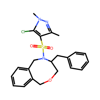 Cc1nn(C)c(Cl)c1S(=O)(=O)N1Cc2ccccc2COCC1Cc1ccccc1